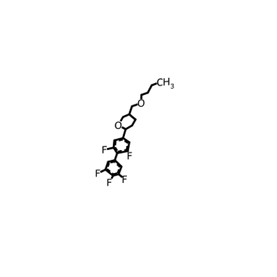 CCCCOCC1CCC(c2cc(F)c(-c3cc(F)c(F)c(F)c3)c(F)c2)OC1